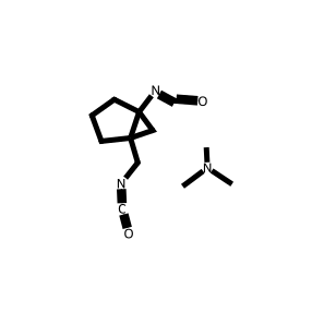 CN(C)C.O=C=NCC12CCCC1(N=C=O)C2